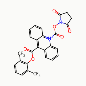 O=C(Oc1c(C(F)(F)F)cccc1C(F)(F)F)c1c2ccccc2[n+](C(=O)ON2C(=O)CCC2=O)c2ccccc12